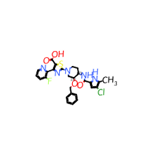 Cc1[nH]c(C(=O)N[C@@H]2CCN(c3nc(-c4ncccc4F)c(C(=O)O)s3)C[C@@H]2OCc2ccccc2)cc1Cl